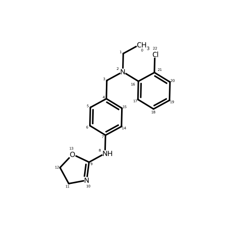 CCN(Cc1ccc(NC2=NCCO2)cc1)c1ccccc1Cl